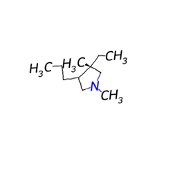 CCCC1CN(C)C[C@@]1(C)CC